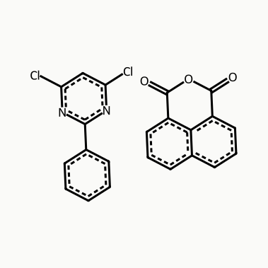 Clc1cc(Cl)nc(-c2ccccc2)n1.O=C1OC(=O)c2cccc3cccc1c23